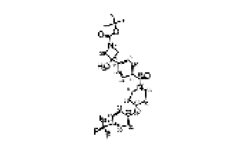 CC(C)(C)OC(=O)N1CC(O)(c2ccc(C(=O)N3CCC(Oc4ccc(C(F)(F)F)cc4)CC3)cc2)C1